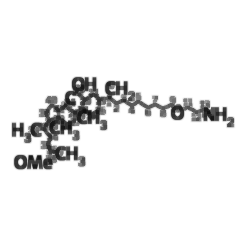 C=C(CCCCCCCCOCCCN)C1CCC2(C)C(C1)C(O)CC1C2CC[C@]2(C)C(C(C)CCC(C)OC)CCC12